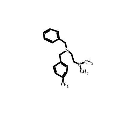 CN(C)CCN(Cc1ccccc1)Cc1ccc(C(F)(F)F)cc1